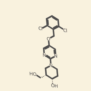 OC[C@@H]1CN(c2ncc(OCc3c(Cl)cccc3Cl)cn2)CC[C@@H]1O